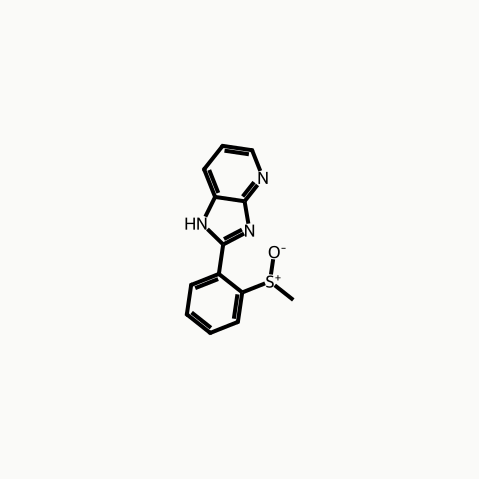 C[S+]([O-])c1ccccc1-c1nc2ncccc2[nH]1